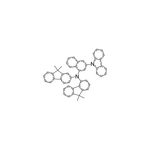 CC1(C)c2ccccc2-c2ccc(N(c3cccc4c3-c3ccccc3C4(C)C)c3cc(-n4c5ccccc5c5ccccc54)cc4ccccc34)cc21